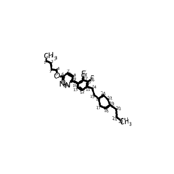 CCCCCOc1ccc(-c2ccc(CCC3CCC(CCC)CC3)c(F)c2F)nn1